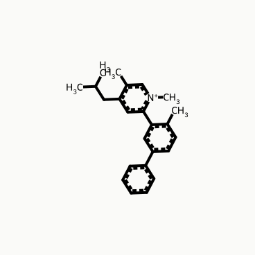 Cc1c[n+](C)c(-c2cc(-c3ccccc3)ccc2C)cc1CC(C)C